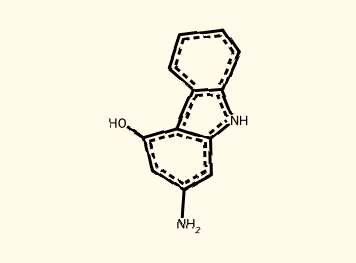 Nc1cc(O)c2c(c1)[nH]c1ccccc12